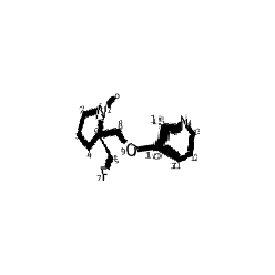 CN1CCC[C@@]1(CF)COc1cccnc1